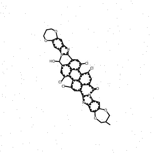 CC1COc2cc3nc4c5cc(Cl)c6c7c(Cl)cc8c9c(cc(Cl)c(c%10c(Cl)cc(c(=O)n4c3cc2OC1)c5c%106)c97)-c1nc2cc3c(cc2n1C8O)OCCCO3